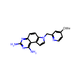 COc1ccnc(Cn2ccc3c4c(N)nc(N)nc4ccc32)c1